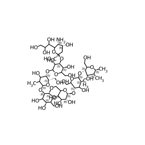 CC1C(O)[C@H](OC2OC(CO)[C@H](O)[C@H](O[C@]3(C(=O)O)C[C@@H](O)[C@@H](N)C(C(O)C(O)CO)O3)C2O)[C@H](CO)O[C@H]1O[C@@H]1C(O)[C@H](O)C(CO)O[C@@H]1OCC1O[C@@H](O[C@@H]2C(CO)O[C@@H](O[C@@H]3C(CO)O[C@@H](C)[C@@H](C)C3O)[C@@H](C)C2O)[C@H](O)C(O)[C@@H]1O